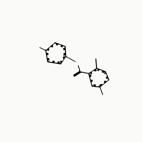 CC(=O)c1ccc(NC(=O)c2cc(Cl)ccc2Cl)cc1